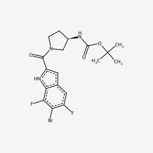 CC(C)(C)OC(=O)N[C@@H]1CCN(C(=O)c2cc3cc(F)c(Br)c(F)c3[nH]2)C1